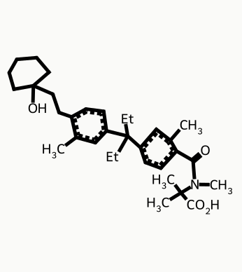 CCC(CC)(c1ccc(CCC2(O)CCCCC2)c(C)c1)c1ccc(C(=O)N(C)C(C)(C)C(=O)O)c(C)c1